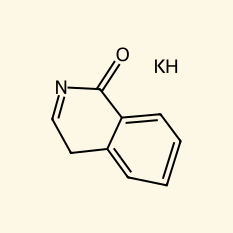 O=C1N=CCc2ccccc21.[KH]